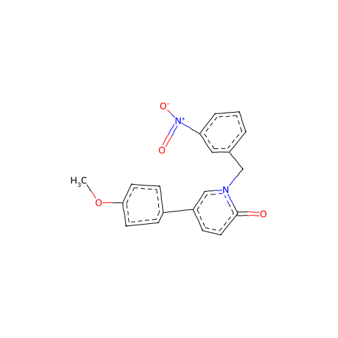 COc1ccc(-c2ccc(=O)n(Cc3cccc([N+](=O)[O-])c3)c2)cc1